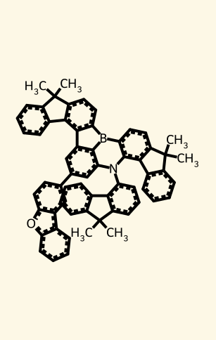 CC1(C)c2ccccc2-c2c(N3c4cc(-c5ccc6oc7ccccc7c6c5)cc5c4B(c4ccc6c(c4-5)-c4ccccc4C6(C)C)c4ccc5c(c43)-c3ccccc3C5(C)C)cccc21